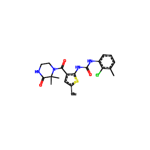 Cc1cccc(NC(=O)Nc2sc(C(C)(C)C)cc2C(=O)N2CCNC(=O)C2(C)C)c1Cl